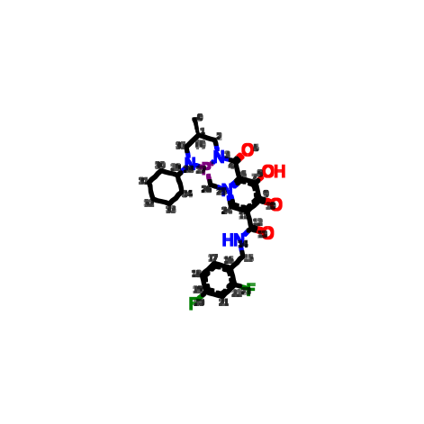 C[C@H]1CN2C(=O)c3c(O)c(=O)c(C(=O)NCc4ccc(F)cc4F)cn3CP2N(C2CCCCC2)C1